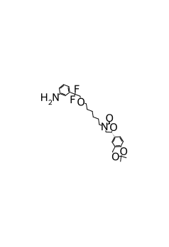 CC1(C)OCc2cc([C@@H]3CN(CCCCCCOCC(F)(F)c4cccc(N)c4)C(=O)O3)ccc2O1